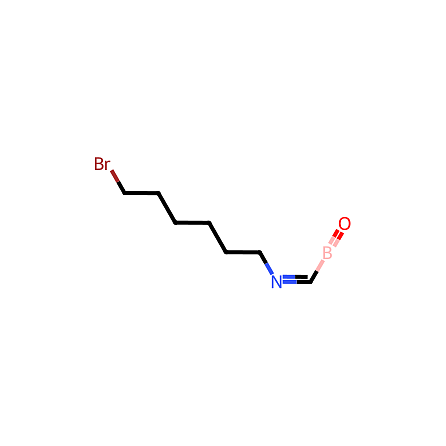 O=B/C=N\CCCCCCBr